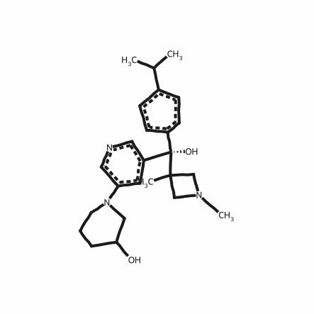 CC(C)c1ccc([C@](O)(c2cncc(N3CCCC(O)C3)c2)C2(C)CN(C)C2)cc1